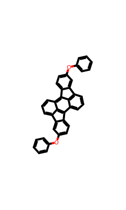 c1ccc(Oc2ccc3c(c2)c2cccc4c2c3c2cccc3c5cc(Oc6ccccc6)ccc5c4c32)cc1